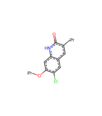 CC(C)Oc1cc2[nH]c(=O)c(C(C)C)cc2cc1Cl